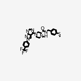 CSc1ccc(CNC(=O)[C@H]2CN(c3ncnc4nn(-c5ccc(C(F)(F)F)cc5)cc34)CCN2C)cc1